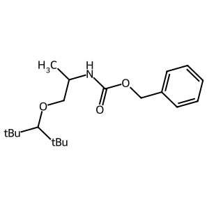 CC(COC(C(C)(C)C)C(C)(C)C)NC(=O)OCc1ccccc1